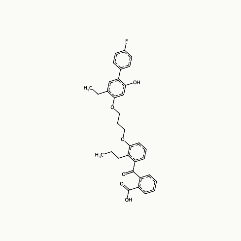 CCCc1c(OCCCOc2cc(O)c(-c3ccc(F)cc3)cc2CC)cccc1C(=O)c1ccccc1C(=O)O